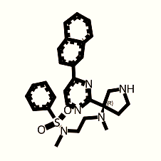 CN(CCN(C)S(=O)(=O)c1ccccc1)[C@]1(c2nccc(-c3ccc4ccccc4c3)n2)CCNC1